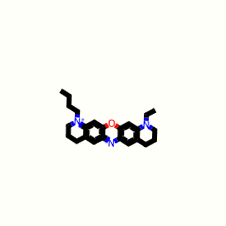 CCCC[N+]1=c2cc3c(cc2CCC1)=Nc1cc2c(cc1O3)N(CC)CCC2